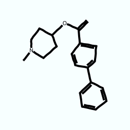 C=C(OC1CCN(C)CC1)c1ccc(-c2ccccc2)cc1